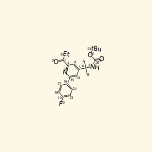 CCC(=O)c1cc(C(C)(C)NC(=O)OC(C)(C)C)cc(-c2ccc(F)cc2)n1